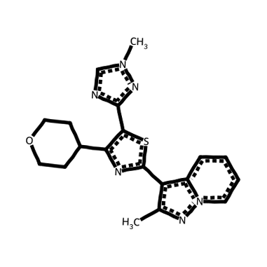 Cc1nn2ccccc2c1-c1nc(C2CCOCC2)c(-c2ncn(C)n2)s1